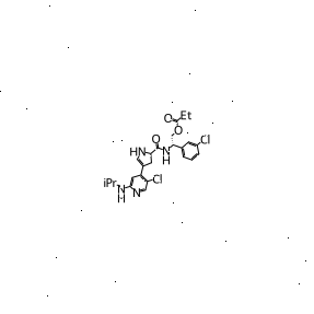 CCC(=O)OC[C@@H](NC(=O)C1CC(c2cc(NC(C)C)ncc2Cl)=CN1)c1cccc(Cl)c1